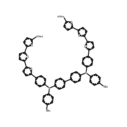 CCCCCCc1ccc(-c2ccc(-c3ccc(-c4ccc(N(c5ccc(-c6ccc(N(c7ccc(-c8ccc(-c9ccc(-c%10ccc(CCCCCC)s%10)s9)s8)cc7)c7ccc(C(C)(C)C)cc7)cc6)cc5)c5ccc(C(C)(C)C)cc5)cc4)s3)s2)s1